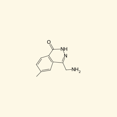 Cc1ccc2c(=O)[nH]nc(CN)c2c1